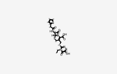 CCn1c(SCC2=C(C(=O)O)N3C(=O)C(NC(=O)Cc4cccs4)[C@H]3SC2)nnc(O)c1=O